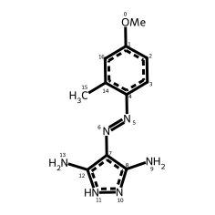 COc1ccc(N=Nc2c(N)n[nH]c2N)c(C)c1